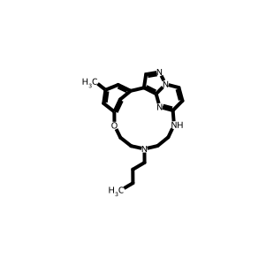 CCCCN1CCNc2ccn3ncc(c3n2)-c2cc(C)cc(c2)OCC1